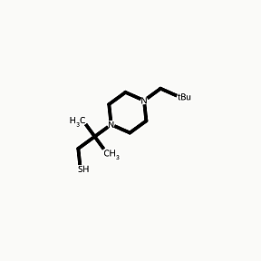 CC(C)(C)CN1CCN(C(C)(C)CS)CC1